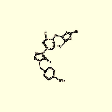 COc1ccc(Cn2cnn(-c3ccc(Oc4sc(Br)nc4C)c(F)c3)c2=O)cc1